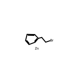 BrCCc1ccccc1.[Zn]